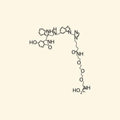 O=C(O)NCCOCCOCCOCCNC(=O)CCCCn1ccnc1Cn1ccc2ccc(CNCc3[nH]c4ccccc4c3C3NC(=O)c4ccc(O)cc43)cc21